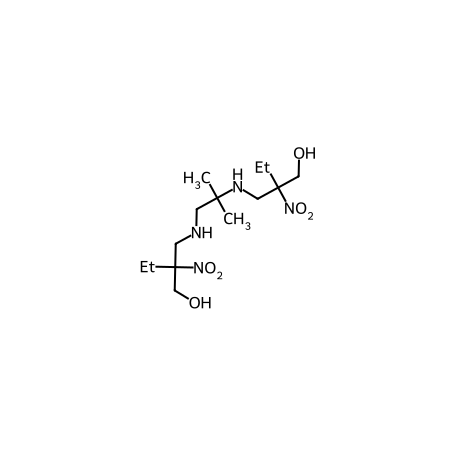 CCC(CO)(CNCC(C)(C)NCC(CC)(CO)[N+](=O)[O-])[N+](=O)[O-]